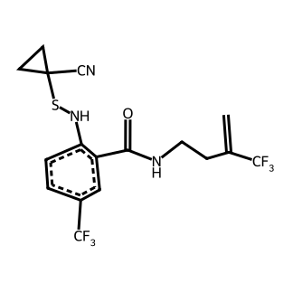 C=C(CCNC(=O)c1cc(C(F)(F)F)ccc1NSC1(C#N)CC1)C(F)(F)F